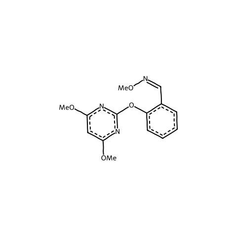 CO/N=C\c1ccccc1Oc1nc(OC)cc(OC)n1